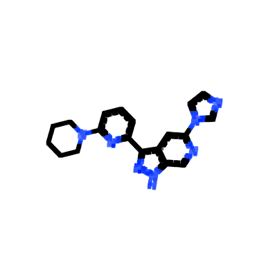 c1cc(-c2n[nH]c3cnc(-n4ccnc4)cc23)nc(N2CCCCC2)c1